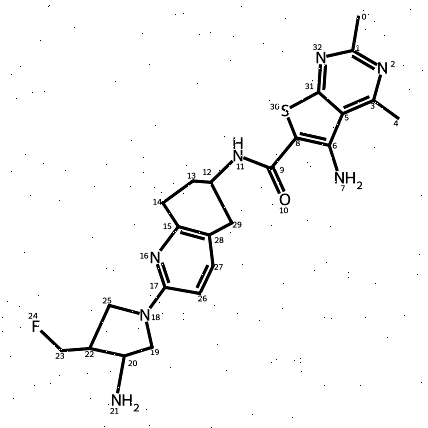 Cc1nc(C)c2c(N)c(C(=O)NC3CCc4nc(N5CC(N)C(CF)C5)ccc4C3)sc2n1